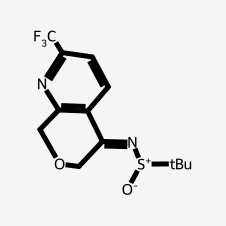 CC(C)(C)[S+]([O-])/N=C1\COCc2nc(C(F)(F)F)ccc21